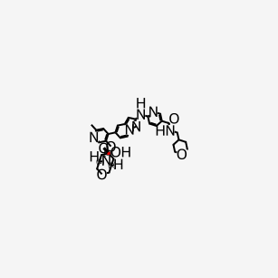 Cc1cc(-c2ccn3nc(Nc4ccc(C(=O)NCC5CCOCC5)cn4)cc3c2)c(O[C@H]2C[C@H]3COC[C@@H](C2)N3C(=O)O)cn1